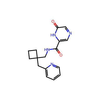 O=C(NCC1(Cc2ccccn2)CCC1)c1cncc(=O)[nH]1